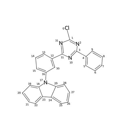 Clc1nc(-c2ccccc2)nc(-c2cccc(-n3c4ccccc4c4ccccc43)c2)n1